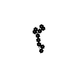 c1ccc(-c2cccc3c2oc2ccc(-c4ccc(-c5ccc(N(c6ccc(-c7cccc8ccccc78)cc6)c6cccc7ccccc67)cc5)cc4)cc23)cc1